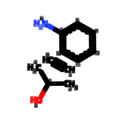 C#C.CC(C)O.Nc1ccccc1